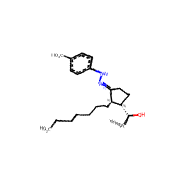 CCCCCCCC(O)[C@H]1CC/C(=N\Nc2ccc(C(=O)O)cc2)[C@@H]1CCCCCCC(=O)O